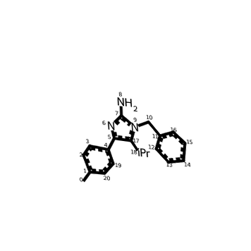 Cc1ccc(-c2nc(N)n(Cc3ccccc3)c2C(C)C)cc1